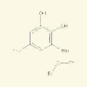 CC(C)(C)c1cc(O)c(O)c(C(C)(C)C)c1.CCOCC